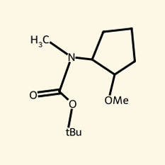 COC1CCCC1N(C)C(=O)OC(C)(C)C